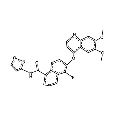 COc1cc2nccc(Oc3ccc4c(C(=O)Nc5ccon5)cccc4c3F)c2cc1OC